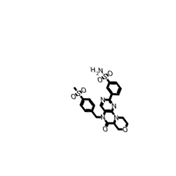 CS(=O)(=O)c1ccc(CN2C(=O)C3COCCN3c3nc(-c4cccc(S(N)(=O)=O)c4)ncc32)cc1